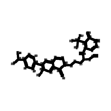 O=c1[nH]ncc(NC(CO)CCCn2ccc3cc(-c4ncc(C(F)F)cn4)c(F)cc3c2=O)c1C(F)(F)F